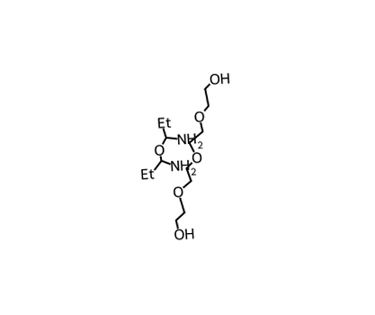 CCC(N)OC(N)CC.OCCOCCOCCOCCO